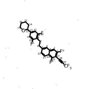 Fc1cc2cc(CCc3c(F)cc(C4CCCCO4)cc3F)ccc2c(F)c1C#CC(F)(F)F